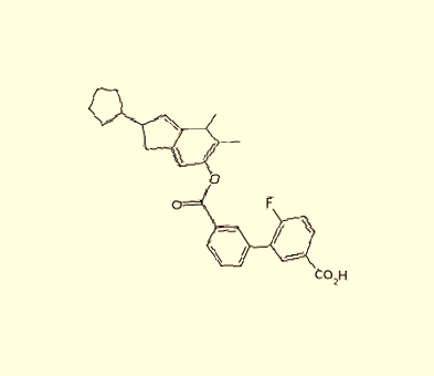 CC1=C(OC(=O)c2cccc(-c3cc(C(=O)O)ccc3F)c2)C=C2CC(C3CCCC3)C=C2C1C